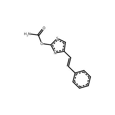 NC(=O)Oc1nc(C=Cc2ccccc2)cs1